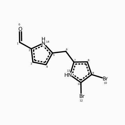 O=Cc1ccc(Cc2cc(Br)c(Br)[nH]2)[nH]1